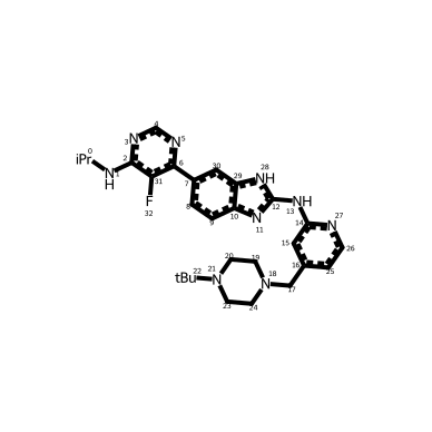 CC(C)Nc1ncnc(-c2ccc3nc(Nc4cc(CN5CCN(C(C)(C)C)CC5)ccn4)[nH]c3c2)c1F